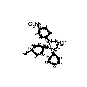 O=[N+]([O-])c1ccc(N2N=[C+]N(c3ccccc3)N2c2ccc(I)cc2)cc1.[Cl-]